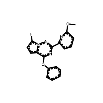 COc1cccc(-c2nc(Oc3ccccc3)c3ccc(F)n3n2)n1